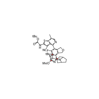 COc1nc(N2C3CCC2CN(C(=O)OC(C)(C)C)C3)c2c3c(c(-c4ncc(C)c5sc(NC(=O)OC(C)(C)C)c(C#N)c45)c(F)c2n1)COC3